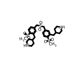 CS(=O)(=O)c1ccc(CS(=O)(=O)Cc2ccc(S(C)(=O)=O)c(CC3CCNCC3)c2)cc1CC1CCNCC1